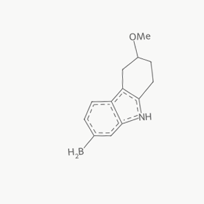 Bc1ccc2c3c([nH]c2c1)CCC(OC)C3